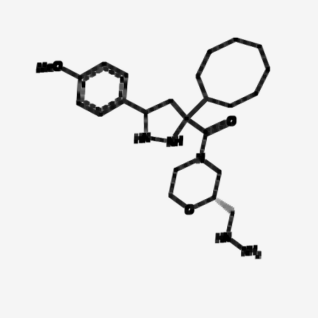 COc1ccc(C2CC(C(=O)N3CCO[C@@H](CNN)C3)(C3CCCCCCC3)NN2)cc1